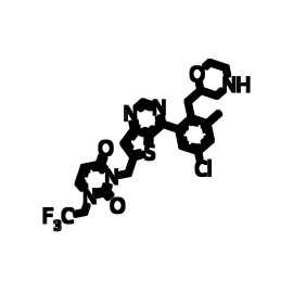 Cc1cc(Cl)cc(-c2ncnc3cc(Cn4c(=O)ccn(CC(F)(F)F)c4=O)sc23)c1CC1CNCCO1